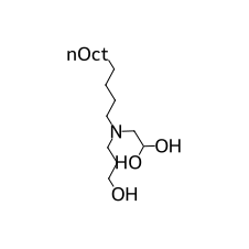 CCCCCCCCCCCCN(CCCO)CC(O)O